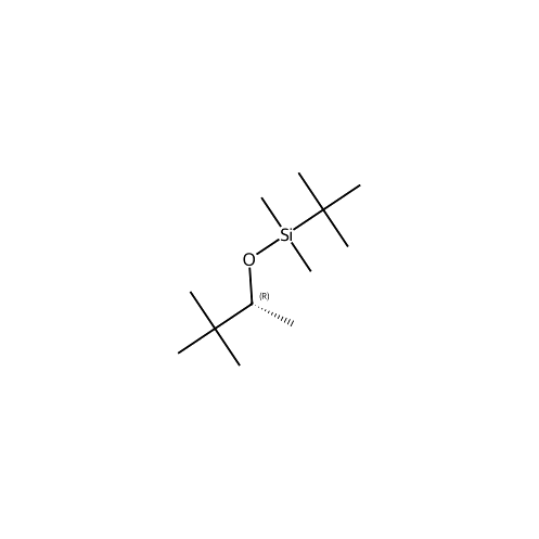 C[C@@H](O[Si](C)(C)C(C)(C)C)C(C)(C)C